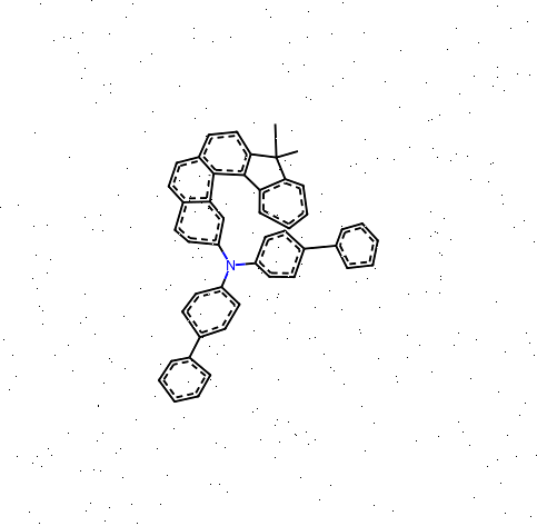 CC1(C)c2ccccc2-c2c1ccc1ccc3ccc(N(c4ccc(-c5ccccc5)cc4)c4ccc(-c5ccccc5)cc4)cc3c21